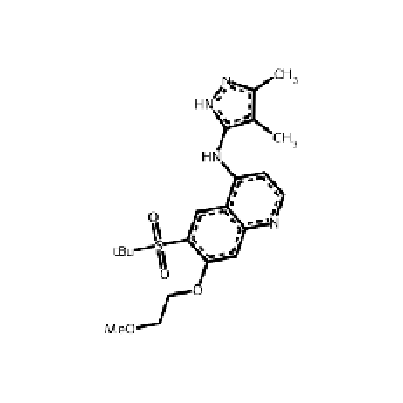 COCCOc1cc2nccc(Nc3[nH]nc(C)c3C)c2cc1S(=O)(=O)C(C)(C)C